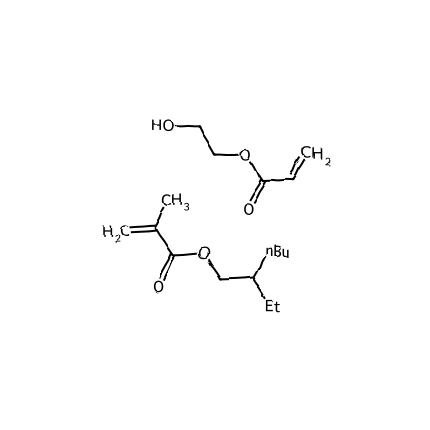 C=C(C)C(=O)OCC(CC)CCCC.C=CC(=O)OCCO